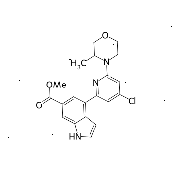 COC(=O)c1cc(-c2cc(Cl)cc(N3CCOCC3C)n2)c2cc[nH]c2c1